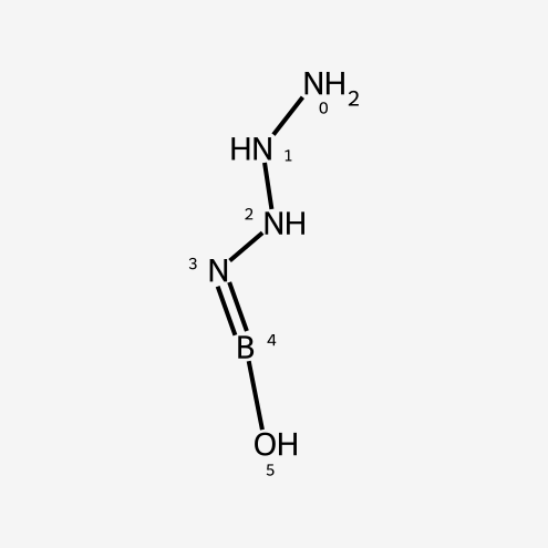 NNNN=BO